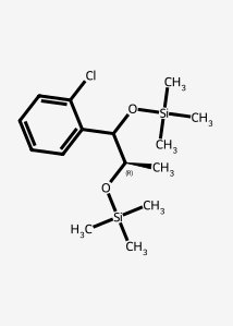 C[C@@H](O[Si](C)(C)C)C(O[Si](C)(C)C)c1ccccc1Cl